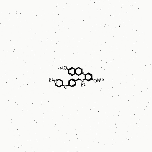 CCN1CCC(Oc2ccc(CN(CC)C3C=C(OC)C=CC3[C@@H]3CCc4cc(O)ccc4C3)cc2)CC1